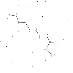 CCCCCCCCC(C)CN